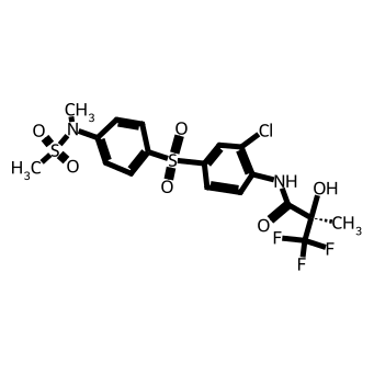 CN(c1ccc(S(=O)(=O)c2ccc(NC(=O)[C@@](C)(O)C(F)(F)F)c(Cl)c2)cc1)S(C)(=O)=O